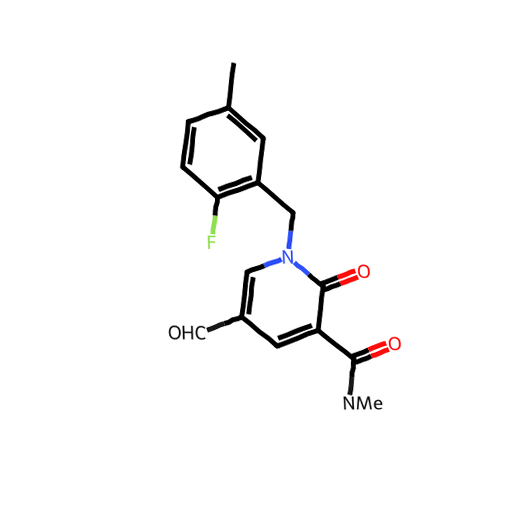 CNC(=O)c1cc(C=O)cn(Cc2cc(C)ccc2F)c1=O